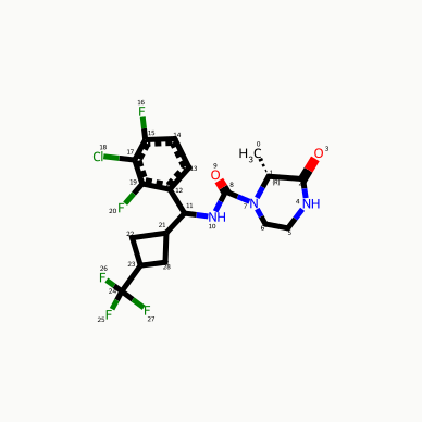 C[C@@H]1C(=O)NCCN1C(=O)NC(c1ccc(F)c(Cl)c1F)C1CC(C(F)(F)F)C1